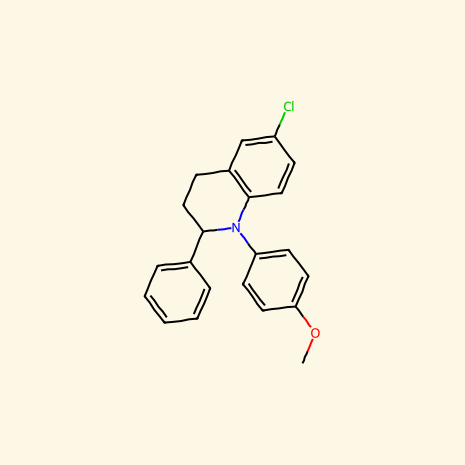 COc1ccc(N2c3ccc(Cl)cc3CCC2c2ccccc2)cc1